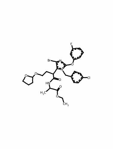 CCOC(=O)C(C)NC(=O)C(CCOC1CCCO1)c1c(Br)nc(Oc2cccc(F)c2)n1Cc1ccc(Cl)cc1